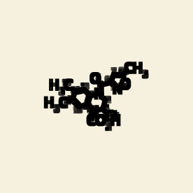 CCC1CN(C(=O)c2cc(C)on2)c2cc(C)c(C)cc2N1C(=O)O